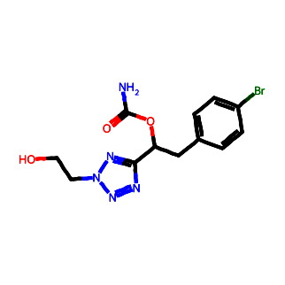 NC(=O)OC(Cc1ccc(Br)cc1)c1nnn(CCO)n1